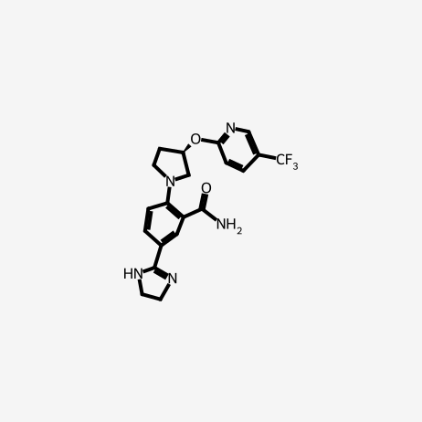 NC(=O)c1cc(C2=NCCN2)ccc1N1CC[C@@H](Oc2ccc(C(F)(F)F)cn2)C1